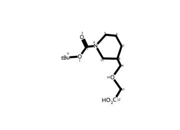 CC(C)(C)OC(=O)N1CCCC(COCC(=O)O)C1